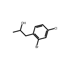 CC(O)Cc1ccc(Cl)cc1Br